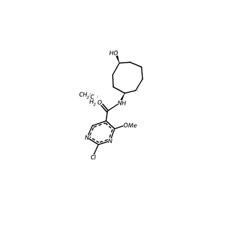 COc1nc(Cl)ncc1C(=O)N[C@@H]1[CH]CCC[C@H](O)CC1.[CH2].[CH2]